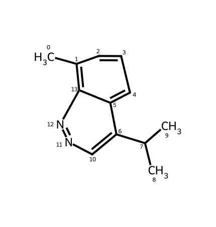 Cc1cccc2c(C(C)C)cnnc12